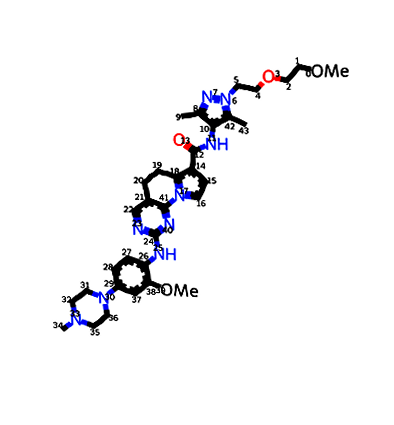 COCCOCCn1nc(C)c(NC(=O)c2ccn3c2CCc2cnc(Nc4ccc(N5CCN(C)CC5)cc4OC)nc2-3)c1C